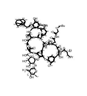 CCCCOCC(=O)NC(=O)C[C@@H]1CC(=O)[C@H](NC(=O)[C@H](CC)CC(C)C)[C@H](O)c2ccc(c(Cl)c2)Oc2cc3cc(c2O[C@@H]2O[C@H](CO)[C@@H](O)[C@H](O)[C@H]2O[C@H]2C[C@](C)(N)[C@H](O)[C@H](C)O2)Oc2ccc(cc2Cl)[C@@H](O)[C@@H]2NC(=O)[C@H](CC(=O)[C@@H]3NC1=O)c1ccc(O)c(c1)-c1c(O)cc(O)cc1[C@@H](C(=O)CC1C3CC4CC(C3)CC1C4)NC2=O